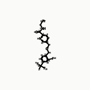 CC(C)CNC(=O)c1ccc(COCc2ccc(C(C)(F)F)cc2F)cn1